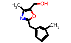 Cc1cccc(Cc2nc(C)c(CO)o2)c1